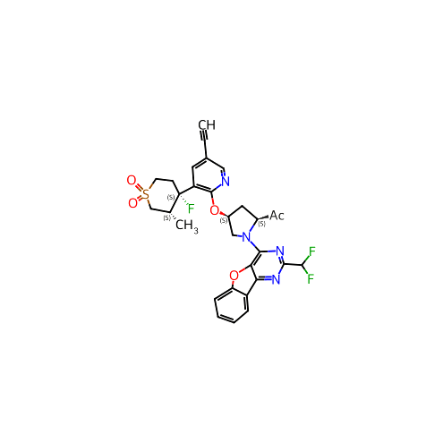 C#Cc1cnc(O[C@H]2C[C@@H](C(C)=O)N(c3nc(C(F)F)nc4c3oc3ccccc34)C2)c([C@]2(F)CCS(=O)(=O)C[C@H]2C)c1